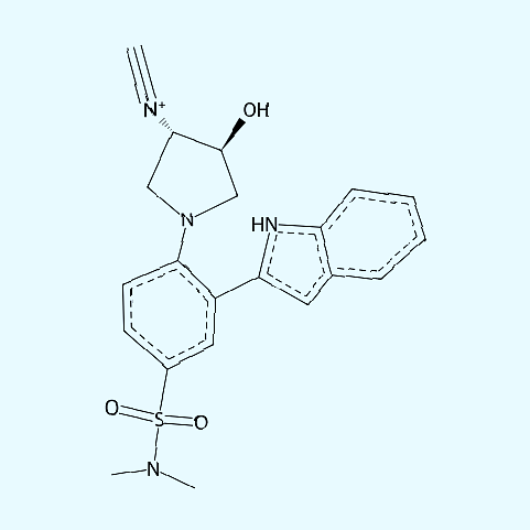 C#[N+][C@H]1CN(c2ccc(S(=O)(=O)N(C)C)cc2-c2cc3ccccc3[nH]2)C[C@@H]1O